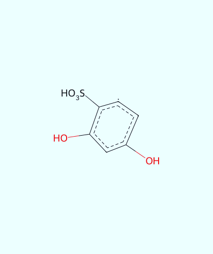 O=S(=O)(O)c1[c]cc(O)cc1O